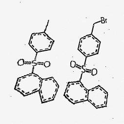 Cc1ccc(S(=O)(=O)c2cccc3ccccc23)cc1.O=S(=O)(c1ccc(CBr)cc1)c1cccc2ccccc12